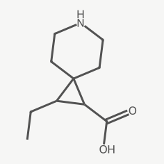 CCC1C(C(=O)O)C12CCNCC2